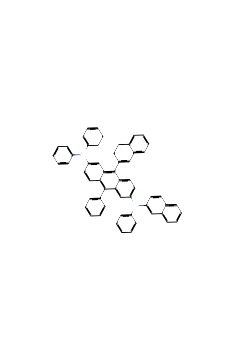 C1=CCCC(N(c2ccccc2)c2ccc3c(-c4ccccc4)c4cc(N(c5ccccc5)c5ccc6ccccc6c5)ccc4c(C4=Cc5ccccc5CC4)c3c2)=C1